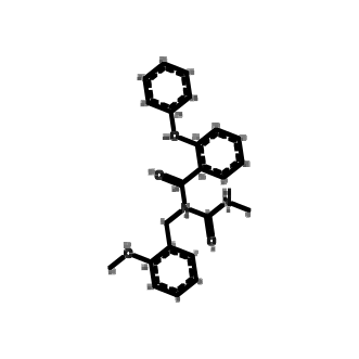 CNC(=O)N(Cc1ccccc1OC)C(=O)c1ccccc1Oc1ccccc1